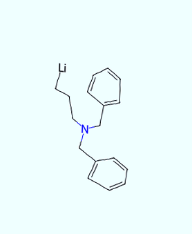 [Li][CH2]CCN(Cc1ccccc1)Cc1ccccc1